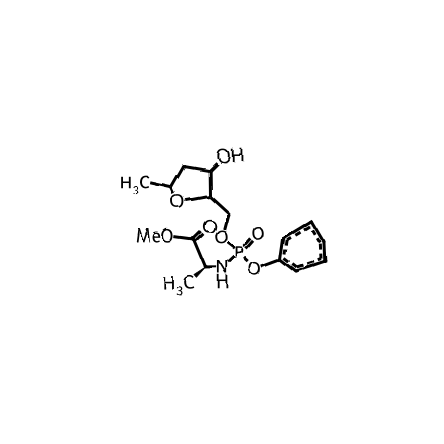 COC(=O)[C@H](C)NP(=O)(OCC1OC(C)CC1O)Oc1ccccc1